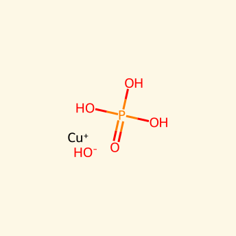 O=P(O)(O)O.[Cu+].[OH-]